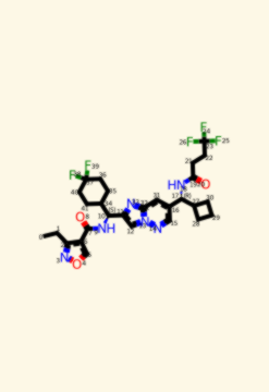 CCc1nocc1C(=O)N[C@H](c1cn2ncc([C@H](NC(=O)CCC(F)(F)F)C3CCC3)cc2n1)C1CCC(F)(F)CC1